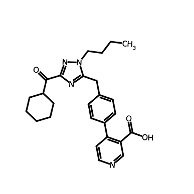 CCCCn1nc(C(=O)C2CCCCC2)nc1Cc1ccc(-c2ccncc2C(=O)O)cc1